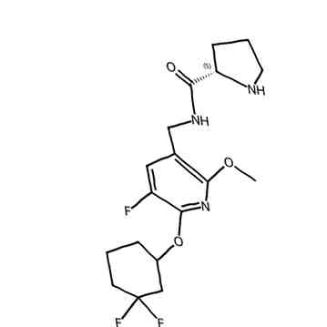 COc1nc(OC2CCCC(F)(F)C2)c(F)cc1CNC(=O)[C@@H]1CCCN1